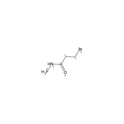 O=C(CCBr)NP